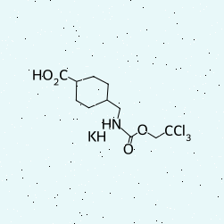 O=C(NCC1CCC(C(=O)O)CC1)OCC(Cl)(Cl)Cl.[KH]